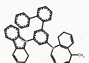 CC1/C=C\C=C/N(c2cc(-c3ccccc3-c3ccccc3)cc(-n3c4c(c5ccccc53)C=CCC4)c2)C2=C1C=CCC2